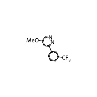 COc1cnnc(-c2cccc(C(F)(F)F)c2)c1